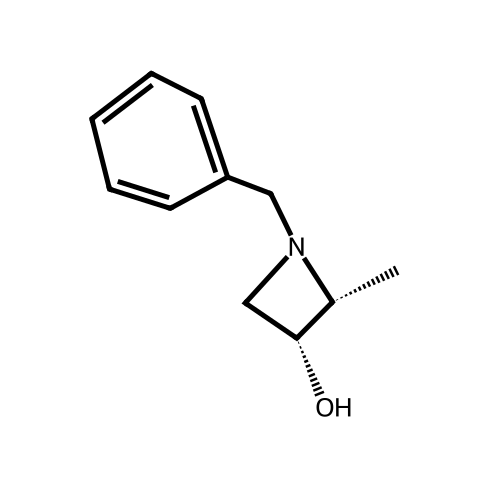 C[C@@H]1[C@H](O)CN1Cc1ccccc1